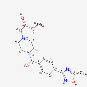 Cc1nc(-c2ccc(C(=O)N3CCN(OC(=O)OC(C)(C)C)CC3)cc2)no1